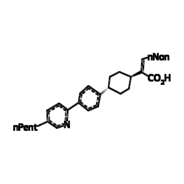 CCCCCCCCCC=C(C(=O)O)[C@H]1CC[C@H](c2ccc(-c3ccc(CCCCC)cn3)cc2)CC1